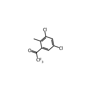 Cc1c(Cl)cc(Cl)cc1C(=O)C(F)(F)F